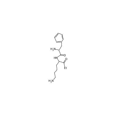 CCC(=O)C(CCCCN)NC(=O)C(N)Cc1ccccc1